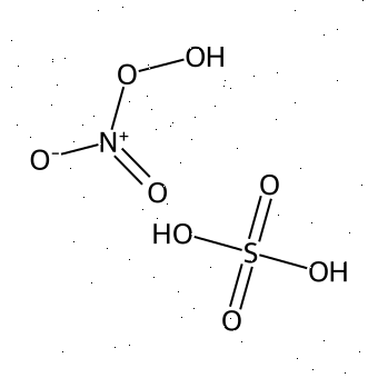 O=S(=O)(O)O.O=[N+]([O-])OO